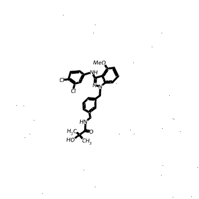 COc1cccc2c1c(Nc1ccc(Cl)c(Cl)c1)nn2Cc1cccc(CNC(=O)C(C)(C)O)c1